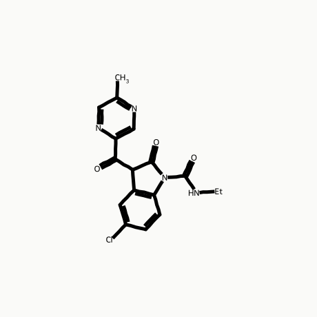 CCNC(=O)N1C(=O)C(C(=O)c2cnc(C)cn2)c2cc(Cl)ccc21